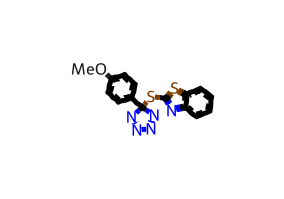 COc1ccc(C2(Sc3nc4ccccc4s3)N=NN=N2)cc1